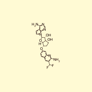 Nc1nc2cc(O[C@H]3CC[C@@]4(O)[C@@H]3O[C@@H](n3ccc5c(N)ncnc53)[C@@H]4O)ccc2cc1C(F)F